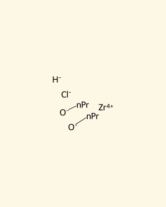 CCC[O-].CCC[O-].[Cl-].[H-].[Zr+4]